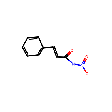 O=C(C=Cc1ccccc1)[N-][N+](=O)[O-]